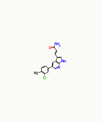 N#Cc1ccc(-c2cnc3[nH]cc(/C=C/C(N)=O)c3c2)cc1Cl